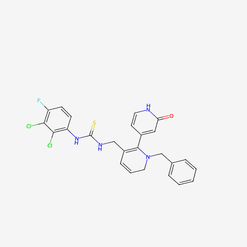 O=c1cc(C2=C(CNC(=S)Nc3ccc(F)c(Cl)c3Cl)C=CCN2Cc2ccccc2)cc[nH]1